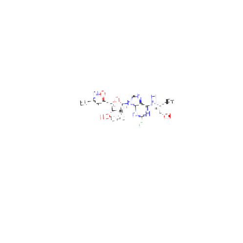 CCc1cc([C@H]2O[C@@H](n3cnc4c(N[C@H](CO)C(C)C)nc(Cl)nc43)[C@H](OC(C)=O)[C@@H]2O)on1